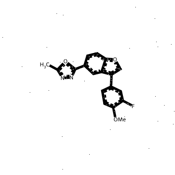 COc1ccc(-c2coc3ccc(-c4nnc(C)o4)cc23)cc1F